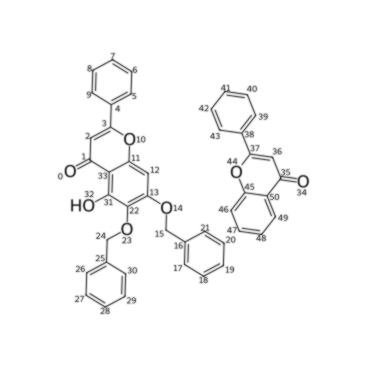 O=c1cc(-c2ccccc2)oc2cc(OCc3ccccc3)c(OCc3ccccc3)c(O)c12.O=c1cc(-c2ccccc2)oc2ccccc12